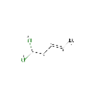 CCC=CCC(Cl)Cl